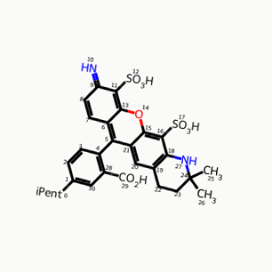 CCCC(C)c1ccc(-c2c3ccc(=N)c(S(=O)(=O)O)c-3oc3c(S(=O)(=O)O)c4c(cc23)CCC(C)(C)N4)c(C(=O)O)c1